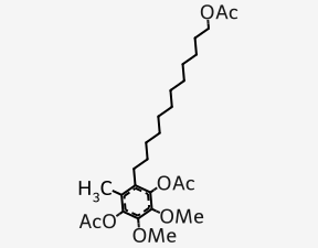 COc1c(OC(C)=O)c(C)c(CCCCCCCCCCCCOC(C)=O)c(OC(C)=O)c1OC